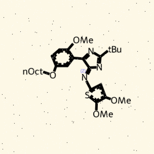 CCCCCCCCOc1ccc(OC)c(C2=NC(C(C)(C)C)=N/C2=N\c2cc(OC)c(OC)s2)c1